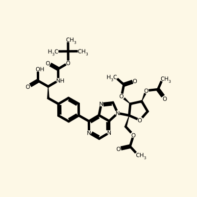 CC(=O)OC[C@]1(n2cnc3c(-c4ccc(C[C@H](NC(=O)OC(C)(C)C)C(=O)O)cc4)ncnc32)OC[C@H](OC(C)=O)[C@@H]1OC(C)=O